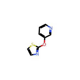 c1cncc(Oc2nccs2)c1